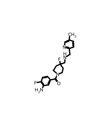 Cc1ccc(CNCC2(F)CCN(C(=O)c3ccc(F)c(N)c3)CC2)nc1